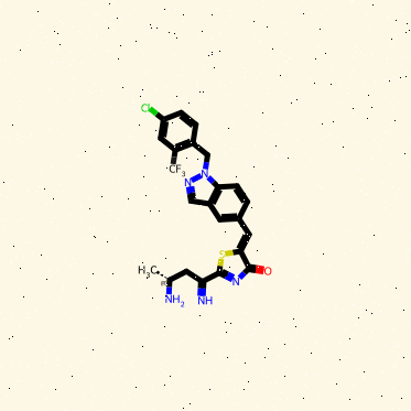 C[C@@H](N)CC(=N)C1=NC(=O)C(=Cc2ccc3c(cnn3Cc3ccc(Cl)cc3C(F)(F)F)c2)S1